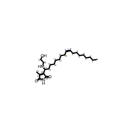 CCCCCCCC/C=C\CCCCCCCC(NCCO)C1=C(C)C(=O)NC1=O